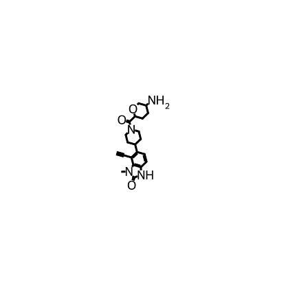 C#Cc1c(C2CCN(C(=O)C3CCC(N)CO3)CC2)ccc2[nH]c(=O)n(C)c12